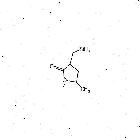 CC1CC(C[SiH3])C(=O)O1